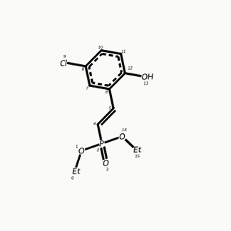 CCOP(=O)(/C=C/c1cc(Cl)ccc1O)OCC